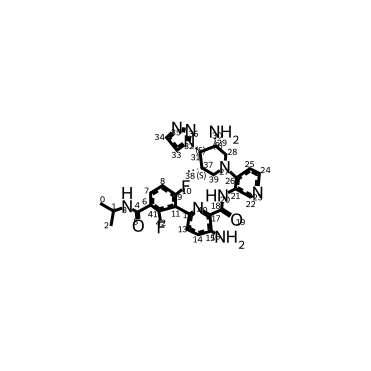 CC(C)NC(=O)c1ccc(F)c(-c2ccc(N)c(C(=O)Nc3cnccc3N3C[C@@H](N)[C@@H](n4ccnn4)[C@@H](C)C3)n2)c1F